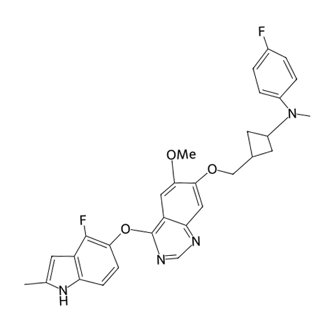 COc1cc2c(Oc3ccc4[nH]c(C)cc4c3F)ncnc2cc1OCC1CC(N(C)c2ccc(F)cc2)C1